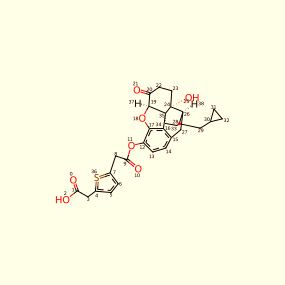 O=C(O)Cc1ccc(CC(=O)Oc2ccc3c4c2O[C@H]2C(=O)CC[C@@]5(O)[C@@H](C3)C(CC3CC3)CC[C@]425)s1